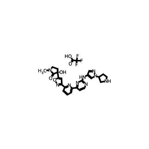 CN1CC[C@@](O)(c2cc(-c3cccc(-c4ccnc(Nc5cnn(C6CCNC6)c5)n4)n3)no2)C1=O.O=C(O)C(F)(F)F